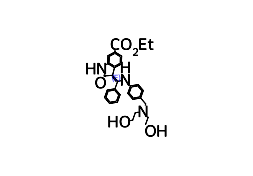 CCOC(=O)c1ccc2c(c1)NC(=O)/C2=C(/Nc1ccc(CN(CCO)CCO)cc1)c1ccccc1